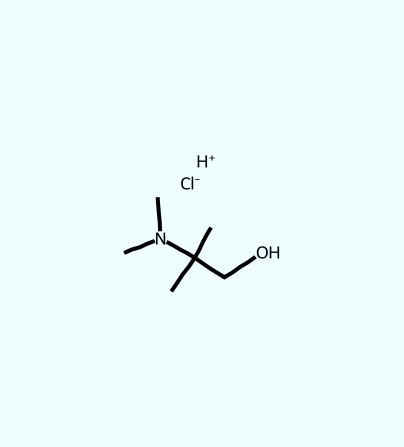 CN(C)C(C)(C)CO.[Cl-].[H+]